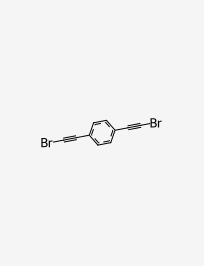 BrC#Cc1ccc(C#CBr)cc1